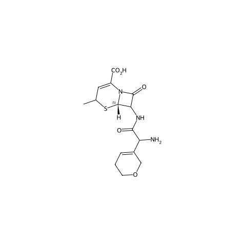 CC1C=C(C(=O)O)N2C(=O)C(NC(=O)C(N)C3=CCCOC3)[C@@H]2S1